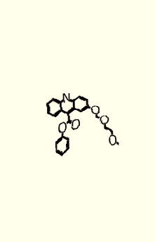 COCCOCOc1ccc2nc3ccccc3c(C(=O)Oc3ccccc3)c2c1